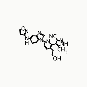 Cc1[nH]nc(C#N)c1-c1nc(-n2cnc3cc(Nc4ccon4)ccc32)ccc1CCO